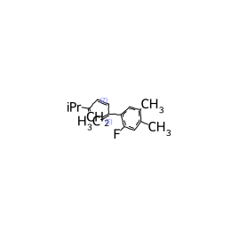 C=C(/C=C\C(=C/C)c1cc(C)c(C)cc1F)C(C)C